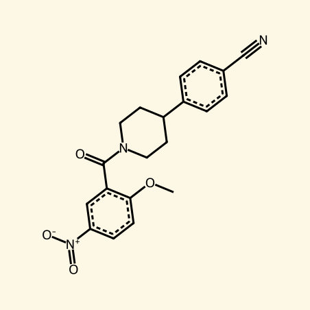 COc1ccc([N+](=O)[O-])cc1C(=O)N1CCC(c2ccc(C#N)cc2)CC1